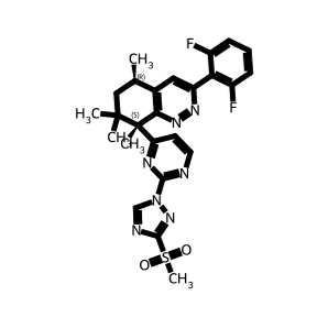 C[C@@H]1CC(C)(C)[C@@](C)(c2ccnc(-n3cnc(S(C)(=O)=O)n3)n2)c2nnc(-c3c(F)cccc3F)cc21